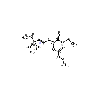 CCOC(=O)ON(C/C=C/P(=O)(OC)OC)C(=O)OCC